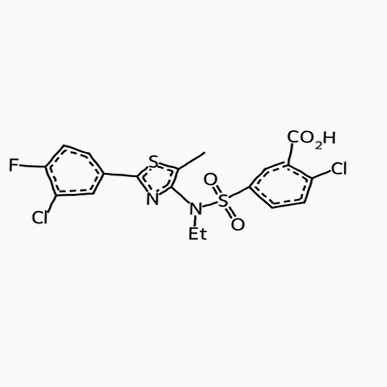 CCN(c1nc(-c2ccc(F)c(Cl)c2)sc1C)S(=O)(=O)c1ccc(Cl)c(C(=O)O)c1